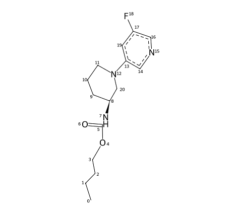 CCCCOC(=O)N[C@H]1CCCN(c2cncc(F)c2)C1